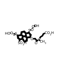 CN(CCCC(=O)O)C(=O)COc1cc(SOOO)c2ccc3c(SOOO)cc(S(=O)(=O)O)c4ccc1c2c34